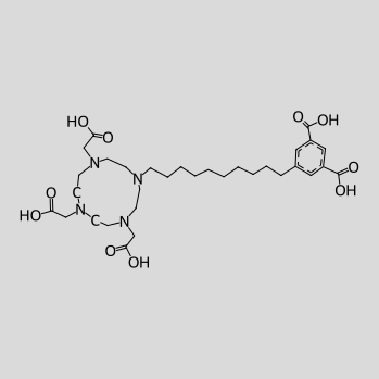 O=C(O)CN1CCN(CCCCCCCCCCc2cc(C(=O)O)cc(C(=O)O)c2)CCN(CC(=O)O)CCN(CC(=O)O)CC1